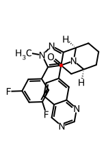 Cn1nc2c(c1-c1cc(F)cc(F)c1)C[C@@H]1CCC[C@H]2N1C(=O)c1ccc2cncnc2c1